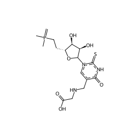 C=P(C)(C)CC[C@H]1OC(n2cc(CNCC(=O)O)c(=O)[nH]c2=S)[C@H](O)[C@@H]1O